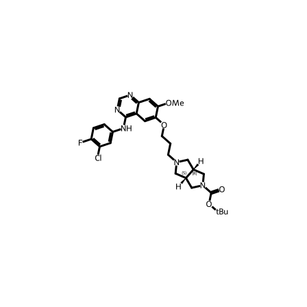 COc1cc2ncnc(Nc3ccc(F)c(Cl)c3)c2cc1OCCCN1C[C@@H]2CN(C(=O)OC(C)(C)C)C[C@@H]2C1